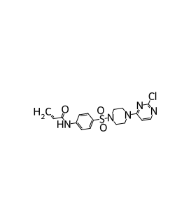 C=CC(=O)Nc1ccc(S(=O)(=O)N2CCN(c3ccnc(Cl)n3)CC2)cc1